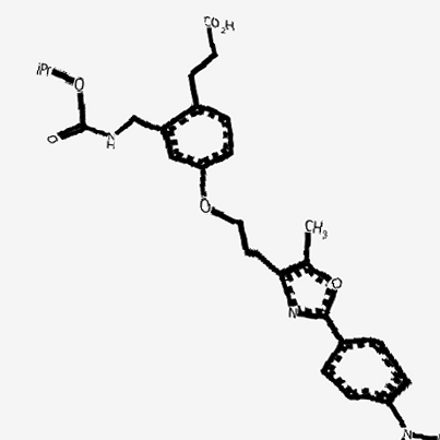 CCN(CC)c1ccc(-c2nc(CCOc3ccc(CCC(=O)O)c(CNC(=O)OC(C)C)c3)c(C)o2)cc1